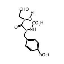 CCCCCCCCc1ccc(CN(NC(=O)O)C(=O)N(CC=O)OCC)cc1